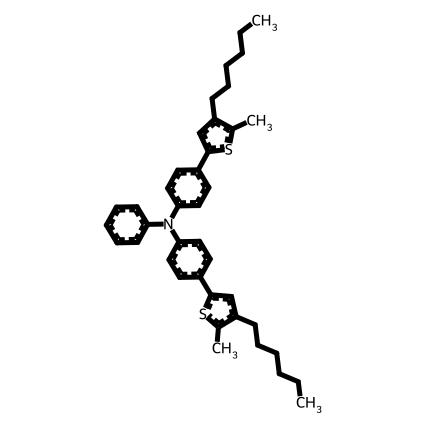 CCCCCCc1cc(-c2ccc(N(c3ccccc3)c3ccc(-c4cc(CCCCCC)c(C)s4)cc3)cc2)sc1C